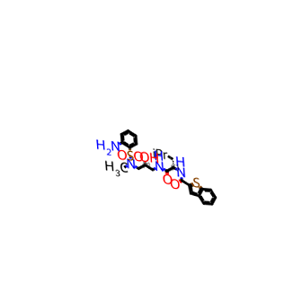 CC(C)C[C@H](NC(=O)c1cc2ccccc2s1)C(=O)NC[C@@H](O)CN(C)S(=O)(=O)c1ccccc1N